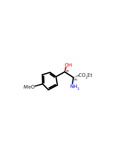 CCOC(=O)[C@H](N)[C@H](O)c1ccc(OC)cc1